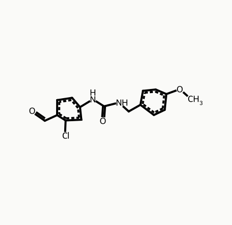 COc1ccc(CNC(=O)Nc2ccc(C=O)c(Cl)c2)cc1